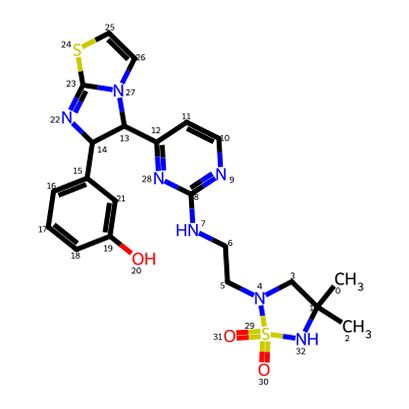 CC1(C)CN(CCNc2nccc(C3C(c4cccc(O)c4)N=C4SC=CN43)n2)S(=O)(=O)N1